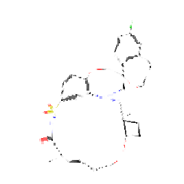 C[C@@H]1/C=C/CCO[C@@H]2CC[C@H]2CN2C[C@]3(COc4ccc(cc42)S(=O)(=O)NC1=O)OCCc1cc(Cl)ccc13